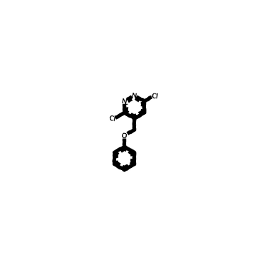 Clc1cc(COc2ccccc2)c(Cl)nn1